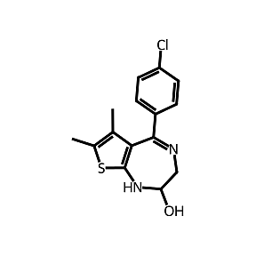 Cc1sc2c(c1C)C(c1ccc(Cl)cc1)=NCC(O)N2